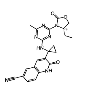 CC[C@H]1COC(=O)N1c1nc(C)nc(NC2(c3cc4cc(C#N)ccc4[nH]c3=O)CC2)n1